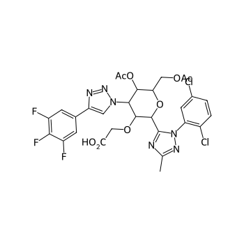 CC(=O)OCC1OC(c2nc(C)nn2-c2cc(Cl)ccc2Cl)C(OCC(=O)O)C(n2cc(-c3cc(F)c(F)c(F)c3)nn2)C1OC(C)=O